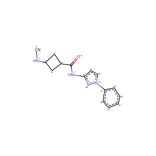 N#CNC1CC(C(=O)Nc2ccn(-c3ccccc3)n2)C1